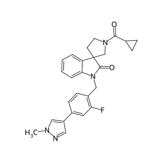 Cn1cc(-c2ccc(CN3C(=O)C4(CCN(C(=O)C5CC5)C4)c4ccccc43)c(F)c2)cn1